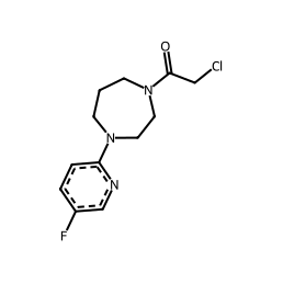 O=C(CCl)N1CCCN(c2ccc(F)cn2)CC1